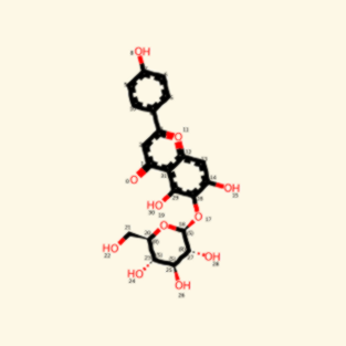 O=c1cc(-c2ccc(O)cc2)oc2cc(O)c(O[C@@H]3O[C@H](CO)[C@@H](O)[C@H](O)[C@H]3O)c(O)c12